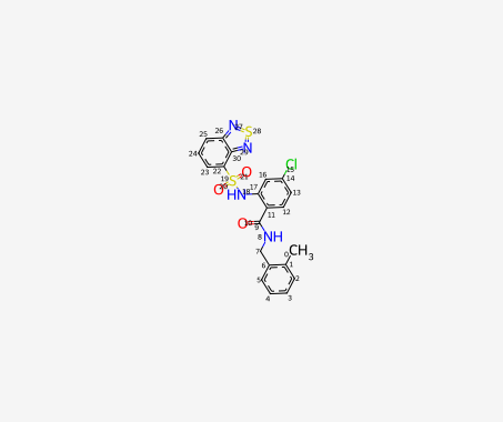 Cc1ccccc1CNC(=O)c1ccc(Cl)cc1NS(=O)(=O)c1cccc2nsnc12